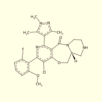 COc1cccc(F)c1-c1nc(-c2c(C)nn(C)c2C)c2c(c1Cl)OC[C@H]1CNCCN1C2=O